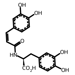 O=C(/C=C\c1ccc(O)c(O)c1)N[C@@H](Cc1ccc(O)c(O)c1)C(=O)O